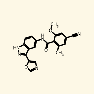 COc1cc(C#N)cc(C)c1C(=O)Nc1ccc2[nH]nc(-c3cnco3)c2c1